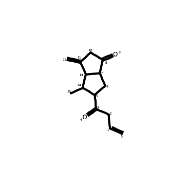 C=CCC(=O)C1CC2C(=O)CC(=C)C2C1C